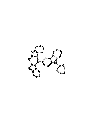 c1ccc(-n2c3ccccc3c3cc(B4n5c(nc6ccccc65)Sc5nc6ccccc6n54)ccc32)cc1